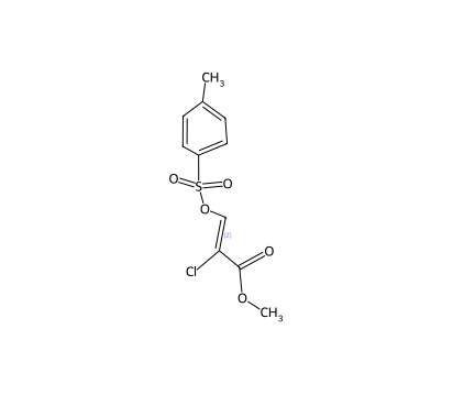 COC(=O)/C(Cl)=C/OS(=O)(=O)c1ccc(C)cc1